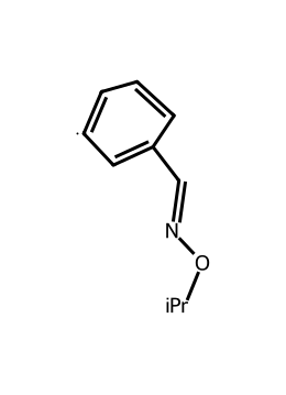 CC(C)ON=Cc1c[c]ccc1